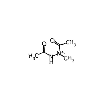 CC(=O)N[N+](C)C(C)=O